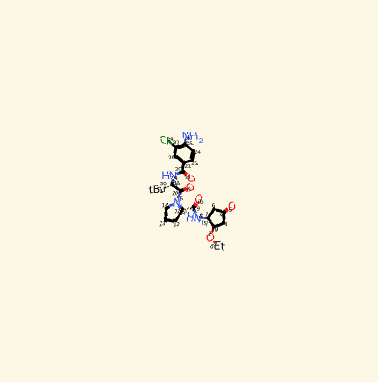 CCO[C@@H]1CC(=O)C[C@@H]1NC(=O)[C@@H]1CCCN1C(=O)[C@@H](NC(=O)c1ccc(N)c(Cl)c1)C(C)(C)C